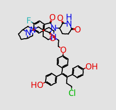 O=C1CCC(N2C(=O)c3cc(F)c(N4C5CCC4CN(CC4CCN(CCOc6ccc(C(=C(CCCl)c7ccc(O)cc7)c7ccc(O)cc7)cc6)CC4)C5)cc3C2=O)C(=O)N1